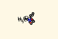 CC(C)(C)c1ccc(N(c2cccc(-c3cccc4c3ccc3ccccc34)c2)c2ccccc2-c2cccc3cccc(-c4ccccc4)c23)cc1